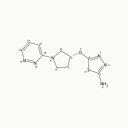 Nc1nnc(O[C@@H]2CCN(c3cccnn3)C2)s1